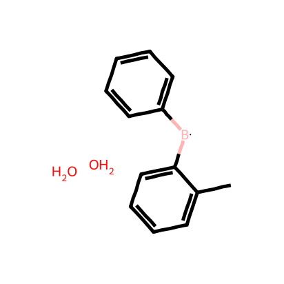 Cc1ccccc1[B]c1ccccc1.O.O